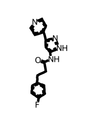 O=C(CCc1ccc(F)cc1)Nc1cc(-c2ccncc2)n[nH]1